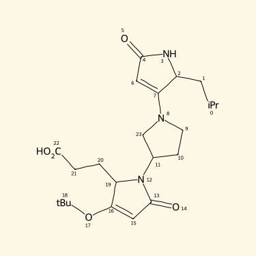 CC(C)CC1NC(=O)C=C1N1CCC(N2C(=O)C=C(OC(C)(C)C)C2CCC(=O)O)C1